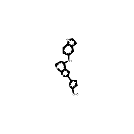 O=Cc1ccc(-c2cc3c(Nc4ccc5[nH]ccc5c4)ccnc3s2)s1